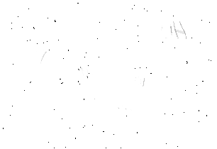 O=C1C=CC(=O)N1CC(O)CO